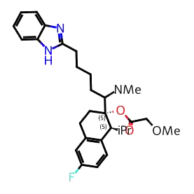 CNC(CCCCc1nc2ccccc2[nH]1)[C@]1(OC(=O)COC)CCc2cc(F)ccc2[C@@H]1C(C)C